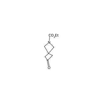 CCOC(=O)N1CC2(CC(=O)C2)C1